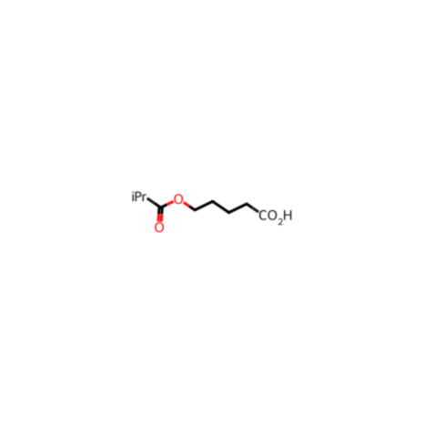 CC(C)C(=O)OCCCCC(=O)O